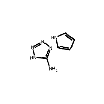 Nc1nnn[nH]1.c1cc[nH]c1